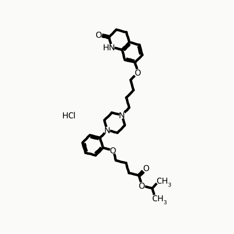 CC(C)OC(=O)CCCOc1ccccc1N1CCN(CCCCOc2ccc3c(c2)NC(=O)CC3)CC1.Cl